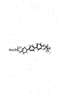 COC(C)OC1CCC(c2ccc(-c3ccc(OC(F)(F)C(F)C(F)(F)F)cc3)cc2)CC1